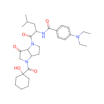 CCN(CC)c1ccc(C(=O)NC(CC(C)C)C(=O)N2CCC3C2C(=O)CN3C(=O)C2(O)CCCCC2)cc1